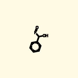 O=P[C](O)c1ccccc1